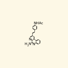 CC(=O)Nc1ccc(C=Cc2cnc3c(N)nc4ccccc4c3c2)cc1